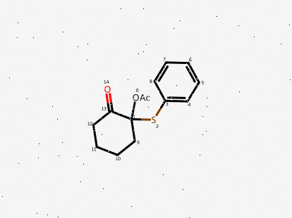 CC(=O)OC1(Sc2ccccc2)CCCCC1=O